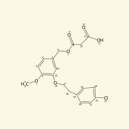 COc1ccc(COC(=O)CC(=O)O)cc1OCCc1ccc(Cl)cc1